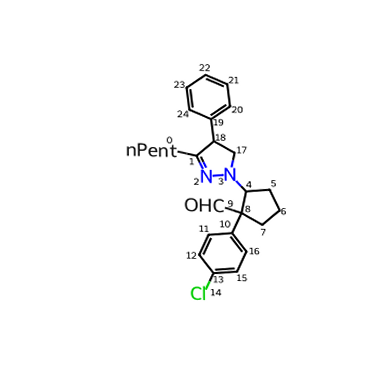 CCCCCC1=NN(C2CCCC2(C=O)c2ccc(Cl)cc2)CC1c1ccccc1